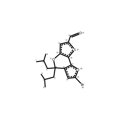 CC(C)CC1(CC(C)C)Oc2cc(C=O)sc2-c2sc(Br)cc21